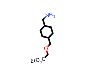 CCOC(=O)COCC1CCC(CN)CC1